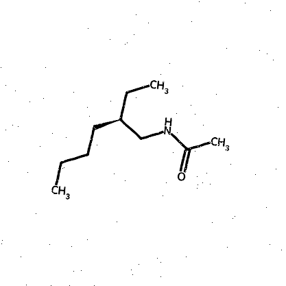 CCCC[C@@H](CC)CNC(C)=O